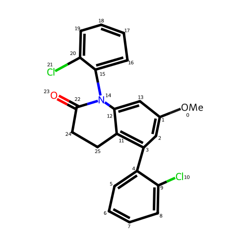 COc1cc(-c2ccccc2Cl)c2c(c1)N(c1ccccc1Cl)C(=O)CC2